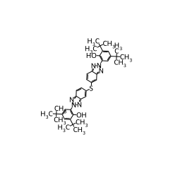 CC(C)(C)c1cc(-n2nc3ccc(Sc4ccc5nn(-c6cc(C(C)(C)C)cc(C(C)(C)C)c6O)nc5c4)cc3n2)c(O)c(C(C)(C)C)c1